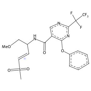 COCC(/C=C/S(C)(=O)=O)NC(=O)c1cnc(C(F)(F)C(F)(F)F)nc1Oc1ccccc1